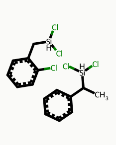 CC(c1ccccc1)[SiH](Cl)Cl.Clc1ccccc1C[SiH](Cl)Cl